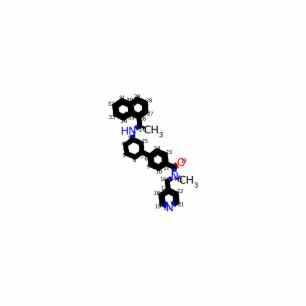 C[C@@H](NC1CCCC(c2ccc(C(=O)N(C)Cc3ccncc3)cc2)C1)c1cccc2ccccc12